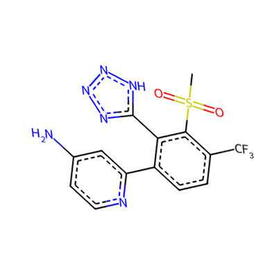 CS(=O)(=O)c1c(C(F)(F)F)ccc(-c2cc(N)ccn2)c1-c1nnn[nH]1